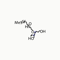 C=C/C(=C\C(=C/CCO)OCCCNC(=O)CCC(C)(C)SSC)CO